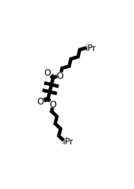 CC(C)CCCCCOC(=O)C(C)(C)C(C)(C)C(=O)OCCCCCC(C)C